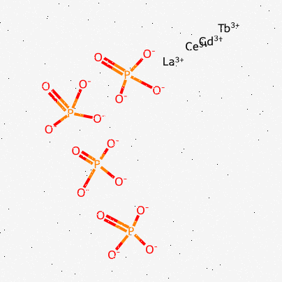 O=P([O-])([O-])[O-].O=P([O-])([O-])[O-].O=P([O-])([O-])[O-].O=P([O-])([O-])[O-].[Ce+3].[Gd+3].[La+3].[Tb+3]